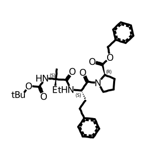 CC[C@](C)(NC(=O)OC(C)(C)C)C(=O)N[C@@H](CCc1ccccc1)C(=O)N1CCC[C@@H]1C(=O)OCc1ccccc1